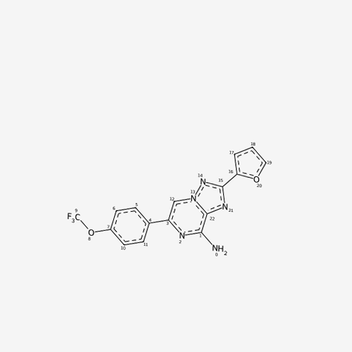 Nc1nc(-c2ccc(OC(F)(F)F)cc2)cn2nc(-c3ccco3)nc12